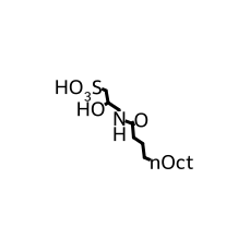 CCCCCCCCCCCC(=O)NCC(O)CS(=O)(=O)O